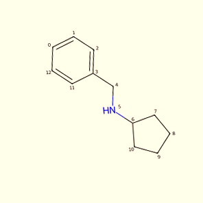 c1ccc(CNC2CCCC2)cc1